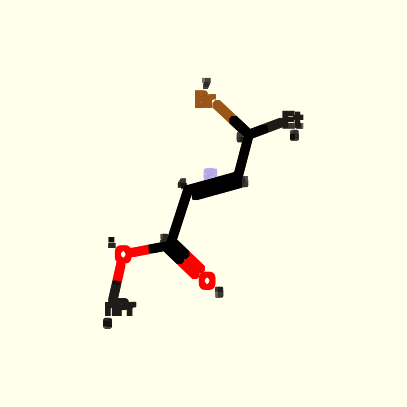 CCCOC(=O)/C=C/C(Br)CC